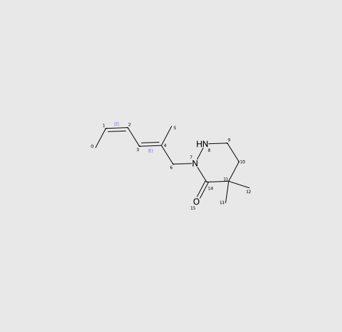 C/C=C\C=C(/C)CN1NCCC(C)(C)C1=O